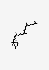 CC(C)=CCCC(C)=CCCC(C)=CCCC(C)=CCCC1(C)OCCC(C)O1